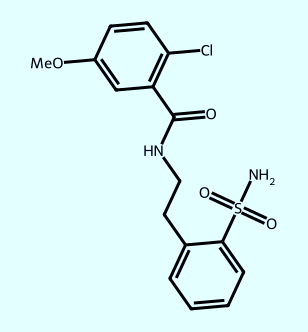 COc1ccc(Cl)c(C(=O)NCCc2ccccc2S(N)(=O)=O)c1